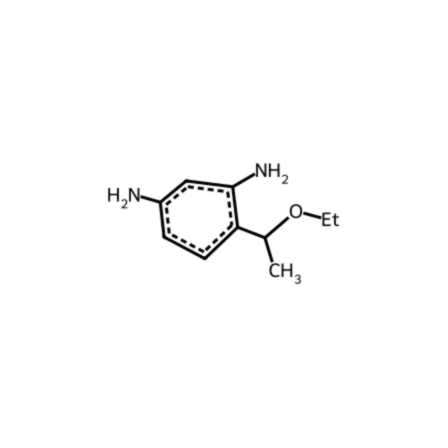 CCOC(C)c1ccc(N)cc1N